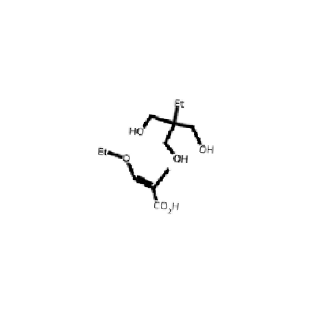 CCC(CO)(CO)CO.CCOC=C(C)C(=O)O